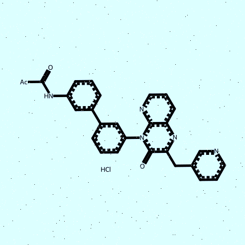 CC(=O)C(=O)Nc1cccc(-c2cccc(-n3c(=O)c(Cc4cccnc4)nc4cccnc43)c2)c1.Cl